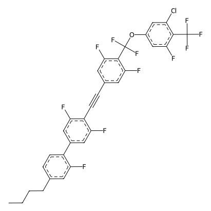 CCCCc1ccc(-c2cc(F)c(C#Cc3cc(F)c(C(F)(F)Oc4cc(F)c(C(F)(F)F)c(Cl)c4)c(F)c3)c(F)c2)c(F)c1